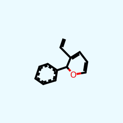 C=CC1=CC=COC1c1ccccc1